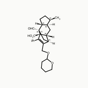 CC(C)C1=C(COC2CCCCO2)[C@H]2C[C@@]3(C=O)[C@@H]4CC[C@@H](C)[C@H]4C[C@H]2[C@]13C(=O)O